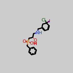 O=P(O)(Cc1ccccc1)C[C@@H](O)CNCC1=CC=CC(Cl)(I)C1